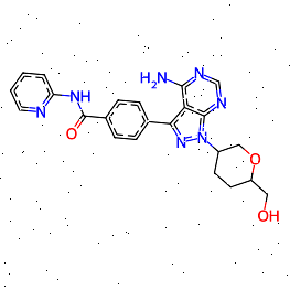 Nc1ncnc2c1c(-c1ccc(C(=O)Nc3ccccn3)cc1)nn2C1CCC(CO)OC1